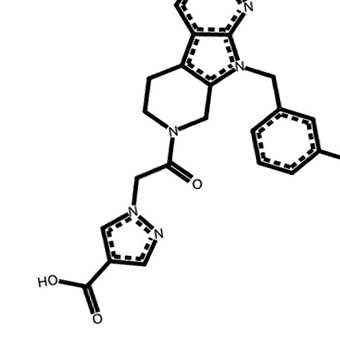 O=C(O)c1cnn(CC(=O)N2CCc3c(n(Cc4cccc(F)c4)c4ncccc34)C2)c1